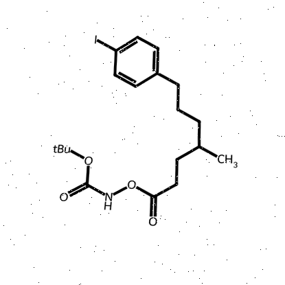 CC(CCCc1ccc(I)cc1)CCC(=O)ONC(=O)OC(C)(C)C